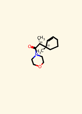 C[C@@H](C(=O)N1CCOCC1)[C@]1(C)C=CCCC1